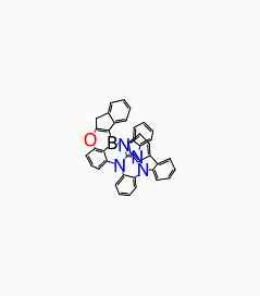 c1ccc2c(c1)CC1=C2B2c3c(cccc3N(c3ccccc3-n3c4ccccc4c4ccccc43)c3nc4ccccc4n32)O1